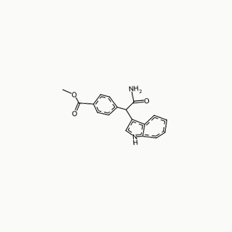 COC(=O)c1ccc(C(C(N)=O)c2c[nH]c3ccccc23)cc1